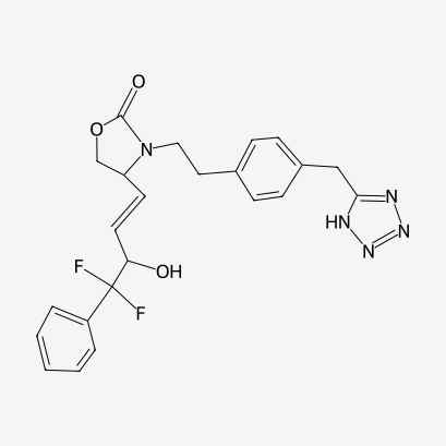 O=C1OCC(C=CC(O)C(F)(F)c2ccccc2)N1CCc1ccc(Cc2nnn[nH]2)cc1